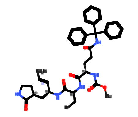 CCOC(=O)/C=C/[C@H](C[C@@H]1CCNC1=O)NC(=O)[C@H](CC(C)C)NC(=O)[C@H](CCC(=O)NC(c1ccccc1)(c1ccccc1)c1ccccc1)NC(=O)OC(C)(C)C